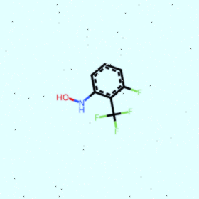 ONc1cccc(F)c1C(F)(F)F